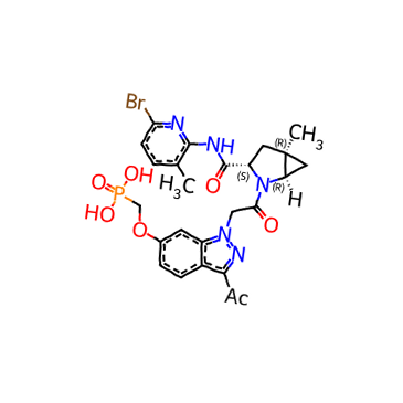 CC(=O)c1nn(CC(=O)N2[C@H](C(=O)Nc3nc(Br)ccc3C)C[C@@]3(C)C[C@@H]23)c2cc(OCP(=O)(O)O)ccc12